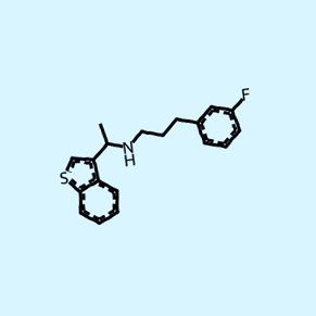 CC(NCCCc1cccc(F)c1)c1csc2ccccc12